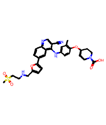 Cc1cc(Nc2c(C#N)cnc3ccc(-c4ccc(CNCCS(C)(=O)=O)o4)cc23)ccc1OC1CCN(C(=O)O)CC1